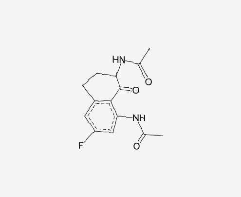 CC(=O)Nc1cc(F)cc2c1C(=O)C(NC(C)=O)CC2